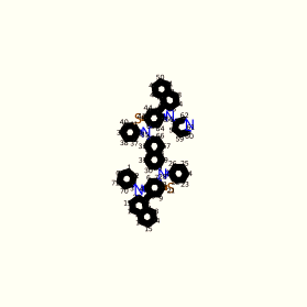 c1ccc(-n2c3cc4c(cc3c3c5ccccc5ccc32)Sc2ccccc2N4c2ccc3cc(N4c5ccccc5Sc5cc6c7c8ccccc8ccc7n(-c7cccnc7)c6cc54)ccc3c2)cc1